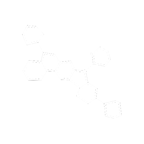 c1ccc(-c2ccc3c4cc5c(cc(-c6ccccc6)c6ccccc65)cc4n(-c4ccccn4)c3c2)cc1